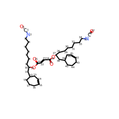 O=C=NCCCCCCCC(CC1CC=CCCC1)OC(=O)C=CC(=O)OC(CCCCCCCN=C=O)CC1CC=CCCC1